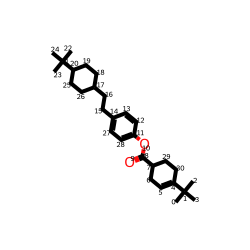 CC(C)(C)C1=CCC(C(=O)Oc2ccc(CCC3CCC(C(C)(C)C)CC3)cc2)CC1